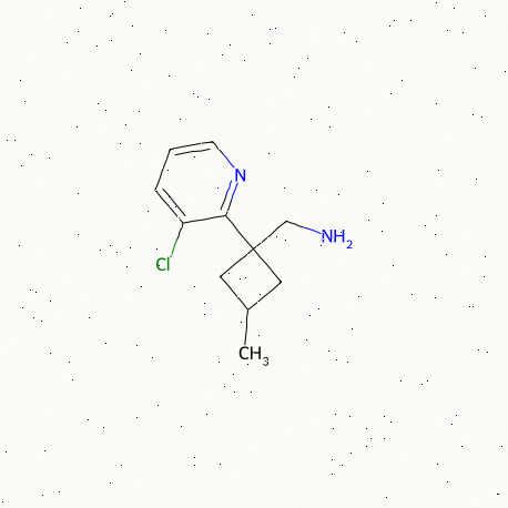 CC1CC(CN)(c2ncccc2Cl)C1